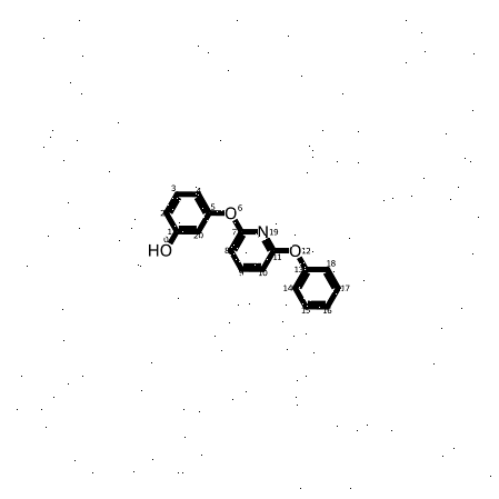 Oc1cccc(Oc2cccc(Oc3ccccc3)n2)c1